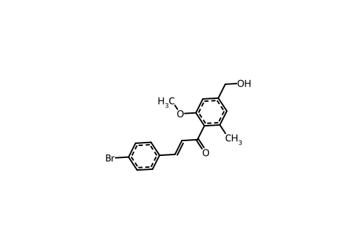 COc1cc(CO)cc(C)c1C(=O)/C=C/c1ccc(Br)cc1